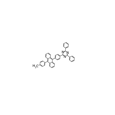 Cc1ccc(-c2c3ccccc3c(-c3ccc(-c4nc(-c5ccccc5)nc(-c5ccccc5)n4)cc3)c3ccccc23)cc1